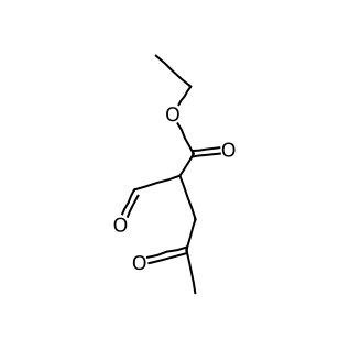 CCOC(=O)C(C=O)CC(C)=O